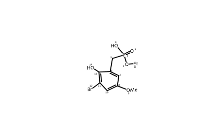 CCOP(=O)(O)Cc1cc(OC)cc(Br)c1O